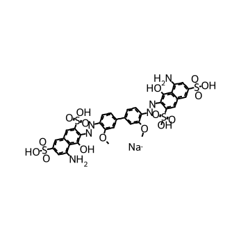 COc1cc(-c2ccc(/N=N/c3c(S(=O)(=O)O)cc4cc(S(=O)(=O)O)cc(N)c4c3O)c(OC)c2)ccc1/N=N/c1c(S(=O)(=O)O)cc2cc(S(=O)(=O)O)cc(N)c2c1O.[Na]